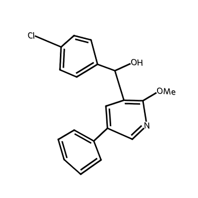 COc1ncc(-c2ccccc2)cc1C(O)c1ccc(Cl)cc1